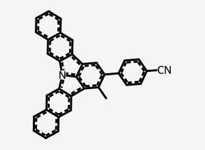 Cc1c(-c2ccc(C#N)cc2)cc2c3cc4ccccc4cc3n3c4cc5ccccc5cc4c1c23